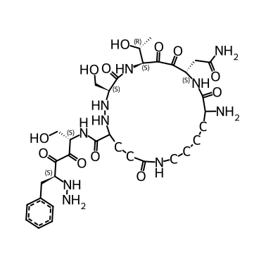 C[C@@H](O)[C@@H]1NC(=O)[C@H](CO)NNC(C(=O)N[C@@H](CO)C(=O)C(=O)[C@H](Cc2ccccc2)NN)CCC(=O)NCCCCC(N)C(=O)N[C@@H](CC(N)=O)C(=O)C1=O